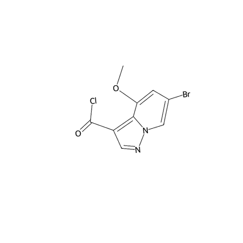 COc1cc(Br)cn2ncc(C(=O)Cl)c12